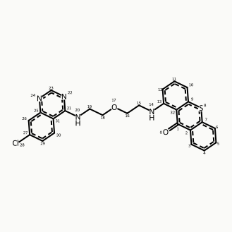 O=c1c2ccccc2sc2cccc(NCCOCCNc3ncnc4cc(Cl)ccc34)c12